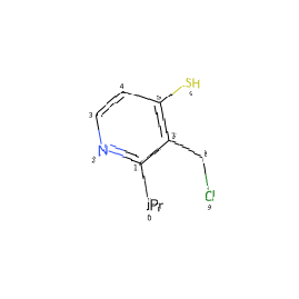 CC(C)c1nccc(S)c1CCl